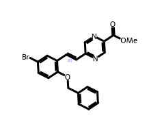 COC(=O)c1cnc(/C=C/c2cc(Br)ccc2OCc2ccccc2)cn1